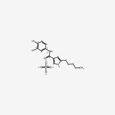 CCCCCc1cc(C(=O)Nc2ccc(F)c(F)c2)cs1.O=S(=O)(Cl)Cl